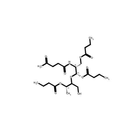 CCCC(=O)OC[C@@H](NC(=O)CCC(C)=O)[C@H](OC(=O)CCC)OC(CO)[C@H](C)OC(=O)CCC